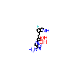 Nc1ncnc2c1ccn2C1C=C(CCc2ccc(F)c3c2CNCC3)C(O)[C@@H]1O